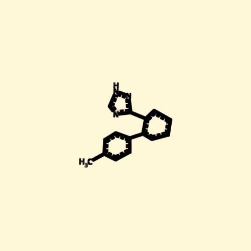 Cc1ccc(-c2ccccc2-c2nc[nH]n2)cc1